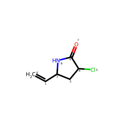 C=CC1CC(Cl)C(=O)N1